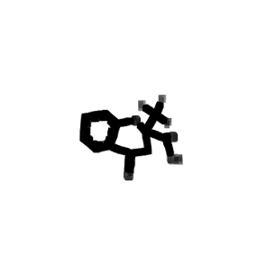 O=C1CC(C(=O)O)(C(F)(F)F)Oc2ccccc21